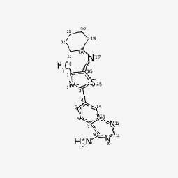 Cn1nc(-c2ccc3c(N)ncnc3c2)s/c1=N/C1CCCCC1